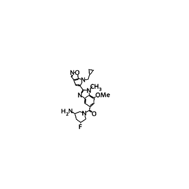 COc1cc(C(=O)N2C[C@H](N)C[C@@H](F)C2)cc2nc(-c3cc4cnoc4n3CC3CC3)n(C)c12